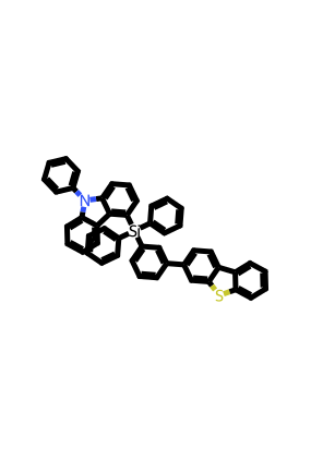 c1ccc(-n2c3ccccc3c3c([Si](c4ccccc4)(c4ccccc4)c4cccc(-c5ccc6c(c5)sc5ccccc56)c4)cccc32)cc1